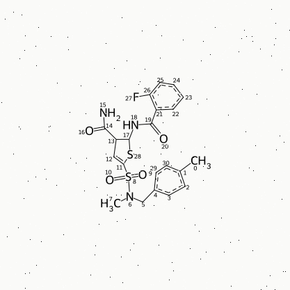 Cc1ccc(CN(C)S(=O)(=O)C2=CC(C(N)=O)C(NC(=O)c3ccccc3F)S2)cc1